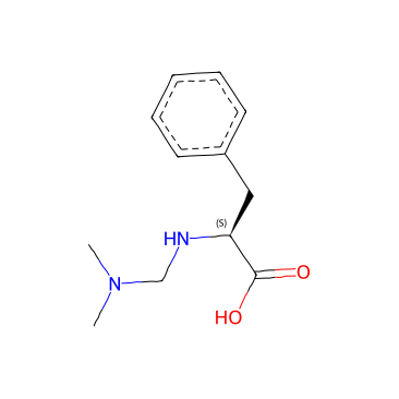 CN(C)CN[C@@H](Cc1ccccc1)C(=O)O